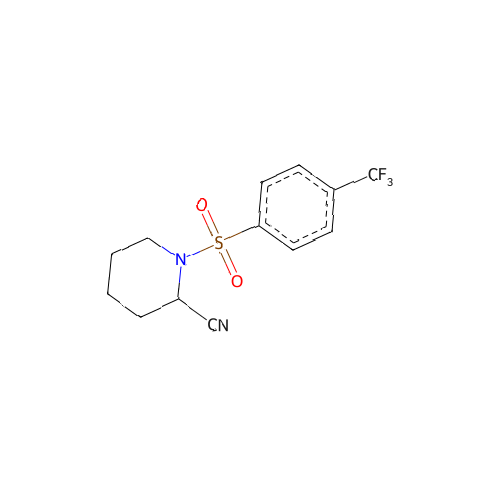 N#CC1CCCCN1S(=O)(=O)c1ccc(C(F)(F)F)cc1